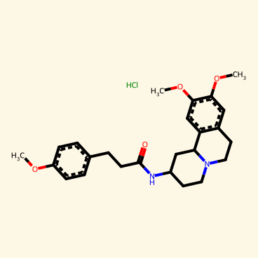 COc1ccc(CCC(=O)NC2CCN3CCc4cc(OC)c(OC)cc4C3C2)cc1.Cl